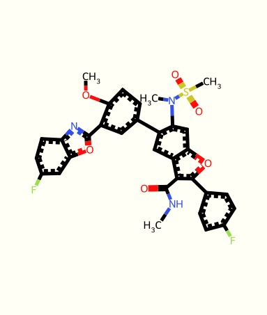 CNC(=O)c1c(-c2ccc(F)cc2)oc2cc(N(C)S(C)(=O)=O)c(-c3ccc(OC)c(-c4nc5ccc(F)cc5o4)c3)cc12